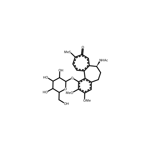 COc1cc2c(c(OC3OC(CO)C(O)C(O)C3O)c1OC)-c1ccc(SC)c(=O)cc1[C@@H](NC(C)=O)CC2